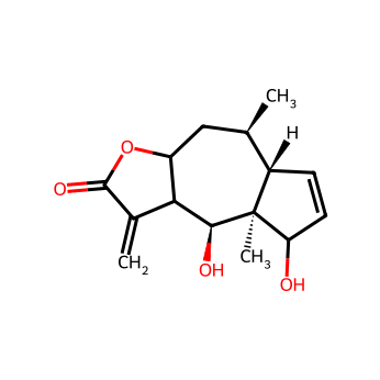 C=C1C(=O)OC2C[C@@H](C)[C@@H]3C=CC(O)[C@@]3(C)[C@@H](O)C12